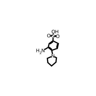 Nc1cc(S(=O)(=O)O)ccc1N1CCCCC1